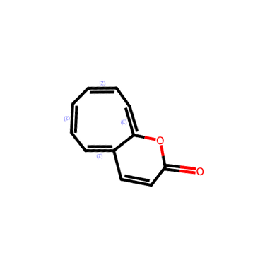 O=c1ccc2/c(o1)=C\C=C/C=C\C=2